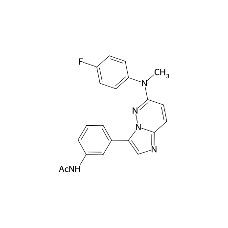 CC(=O)Nc1cccc(-c2cnc3ccc(N(C)c4ccc(F)cc4)nn23)c1